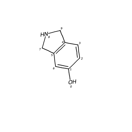 Oc1ccc2c(c1)CNC2